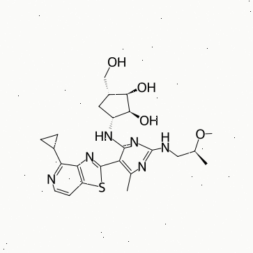 CO[C@@H](C)CNc1nc(C)c(-c2nc3c(C4CC4)nccc3s2)c(N[C@@H]2C[C@H](CO)[C@@H](O)[C@H]2O)n1